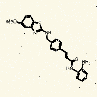 COc1ccc2sc(NCc3ccc(C=CC(=O)Nc4ccccc4N)cc3)nc2c1